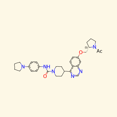 CC(=O)N1CCC[C@H]1COc1ccc2c(C3CCN(C(=O)Nc4ccc(N5CCCC5)cc4)CC3)ncnc2c1